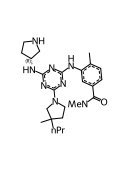 CCCC1(C)CCN(c2nc(Nc3cc(C(=O)NC)ccc3C)nc(N[C@@H]3CCNC3)n2)C1